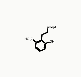 CCCCCCCCCc1c(O)cccc1C(=O)O